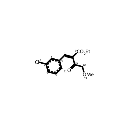 CCOC(=O)C(=Cc1cccc(Cl)c1)C(=O)COC